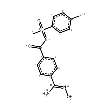 CS(=O)(=NC(=O)c1ccc(/C(N)=N/O)cc1)c1ccc(F)cc1